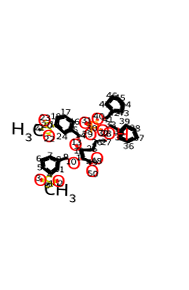 CS(=O)(=O)c1cccc(COC2=C(OCc3cccc(S(C)(=O)=O)c3)[C@@H]([C@H](CO)OP(=O)(OCc3ccccc3)OCc3ccccc3)OC2=O)c1